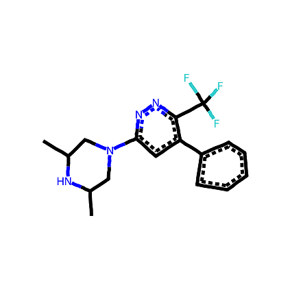 CC1CN(c2cc(-c3ccccc3)c(C(F)(F)F)nn2)CC(C)N1